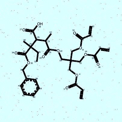 C=CC(=O)OCC(COC(=O)C=C)(COC(=O)C=C)COC(=O)C(C)C(C(=O)O)C(C)(CC)C(=O)OCc1ccccc1